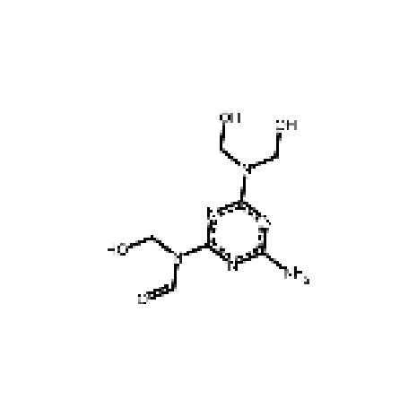 Nc1nc(N(C=O)CO)nc(N(CO)CO)n1